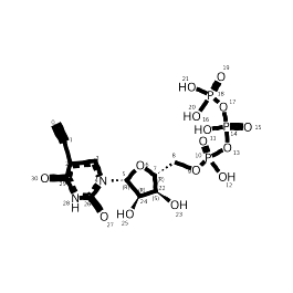 C#Cc1cn([C@@H]2O[C@H](COP(=O)(O)OP(=O)(O)OP(=O)(O)O)[C@@H](O)[C@H]2O)c(=O)[nH]c1=O